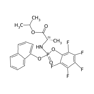 CC(C)OC(=O)[C@H](C)NP(=O)(Oc1c(F)c(F)c(F)c(F)c1F)Oc1cccc2ccccc12